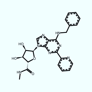 CNC(=O)[C@H]1O[C@H](n2cnc3c(NCc4ccccc4)nc(-c4ccccn4)nc32)[C@H](O)[C@@H]1O